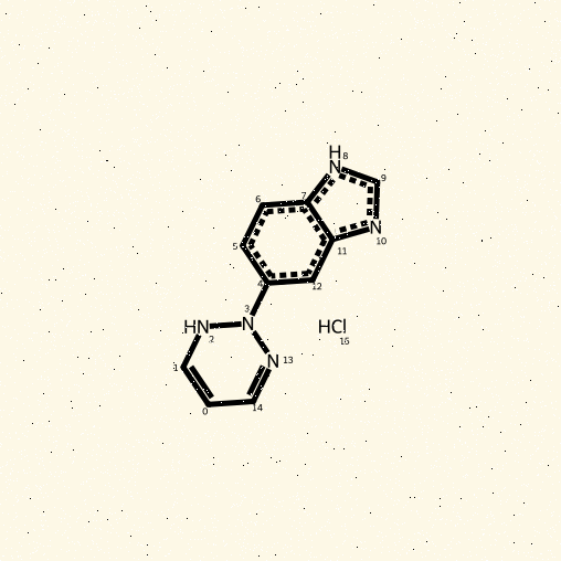 C1=CNN(c2ccc3[nH]cnc3c2)N=C1.Cl